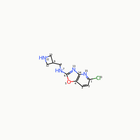 Clc1ccc2oc(NCC3CNC3)nc2n1